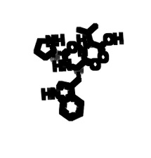 CC(C)[C@H](NC(=O)[C@H](Cc1c[nH]c2ccccc12)NC(=O)[C@@H]1CCCN1)C(=O)O